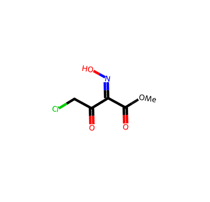 COC(=O)C(=NO)C(=O)CCl